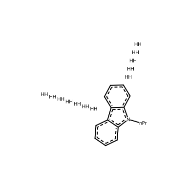 CCCn1c2ccccc2c2ccccc21.[HH].[HH].[HH].[HH].[HH].[HH].[HH].[HH].[HH].[HH].[HH].[HH]